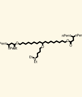 CCCCCC(CCCCC)CC(=O)OCCCCCCCCC(CCCCCCCCOC(=O)CC(CCCCC)CCCCC)OCCCCN(CC)CC